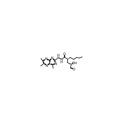 CCCCC[C@@H](CN(O)C=O)C(=O)NNc1nc(C)c2nc(C)c(C)nc2n1